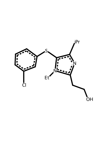 CCn1c(CCO)nc(C(C)C)c1Sc1cccc(Cl)c1